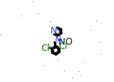 O=NN(Cc1c(Cl)cccc1Cl)c1cccnc1